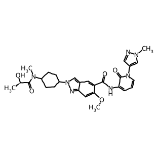 COc1cc2nn(C3CCC(N(C)C(=O)[C@@H](C)O)CC3)cc2cc1C(=O)Nc1cccn(-c2cnn(C)c2)c1=O